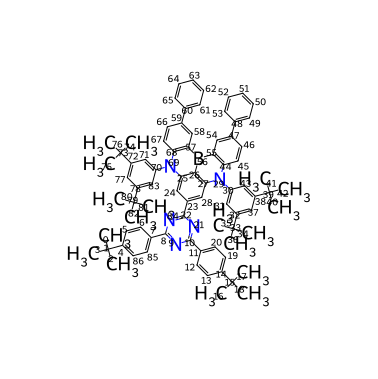 CC(C)(C)c1ccc(-c2nc(-c3ccc(C(C)(C)C)cc3)nc(-c3cc4c5c(c3)N(c3cc(C(C)(C)C)cc(C(C)(C)C)c3)c3ccc(-c6ccccc6)cc3B5c3cc(-c5ccccc5)ccc3N4c3cc(C(C)(C)C)cc(C(C)(C)C)c3)n2)cc1